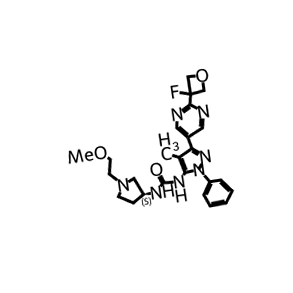 COCCN1CC[C@H](NC(=O)Nc2c(C)c(-c3cnc(C4(F)COC4)nc3)nn2-c2ccccc2)C1